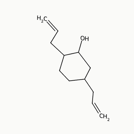 C=CCC1CCC(CC=C)C(O)C1